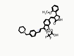 COc1ccccc1C1CNC(=O)C1=Cc1ccc2c(/C=C/c3ccc(CN4CCCCC4)cc3)n[nH]c2c1.O=C(O)C(F)(F)F